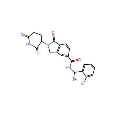 CC(C)C(NC(=O)c1ccc2c(c1)CN(C1CCC(=O)NC1=O)C2=O)c1ccccc1Cl